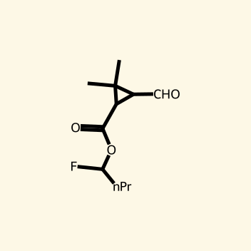 CCCC(F)OC(=O)C1C(C=O)C1(C)C